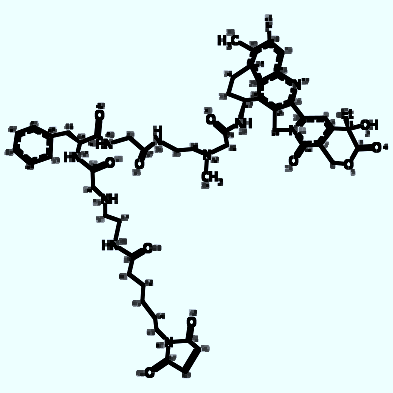 CC[C@@]1(O)C(=O)OCc2c1cc1n(c2=O)Cc2c-1nc1cc(F)c(C)c3c1c2[C@@H](NC(=O)CN(C)CCNC(=O)CNC(=O)[C@H](Cc1ccccc1)NC(=O)CNCCNC(=O)CCCCCN1C(=O)C=CC1=O)CC3